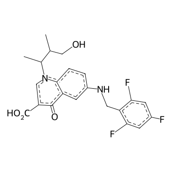 CC(CO)C(C)n1cc(C(=O)O)c(=O)c2cc(NCc3c(F)cc(F)cc3F)ccc21